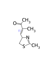 CC(=O)/C(C)=C/C1CSC(C)=N1